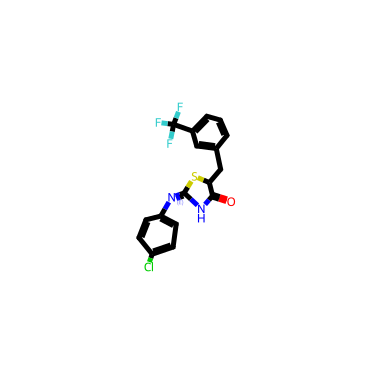 O=C1N/C(=N\c2ccc(Cl)cc2)SC1Cc1cccc(C(F)(F)F)c1